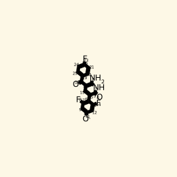 Nc1[nH]c(=O)c(-c2c(F)cc([O])cc2F)cc1C(=O)c1ccc(F)cc1